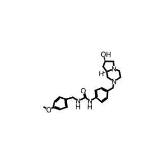 COc1ccc(CNC(=O)Nc2ccc(CN3CCN4C[C@H](O)C[C@@H]4C3)cc2)cc1